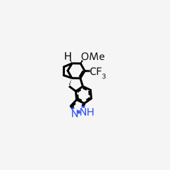 CO[C@H]1C(C(F)(F)F)=C2c3ccc4[nH]ncc4c3C[C@@]23CC[C@@H]1C3